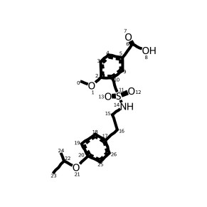 COc1ccc(C(=O)O)cc1S(=O)(=O)NCCc1ccc(OC(C)C)cc1